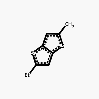 CCc1cc2sc(C)cc2s1